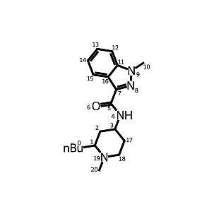 CCCCC1CC(NC(=O)c2nn(C)c3ccccc23)CCN1C